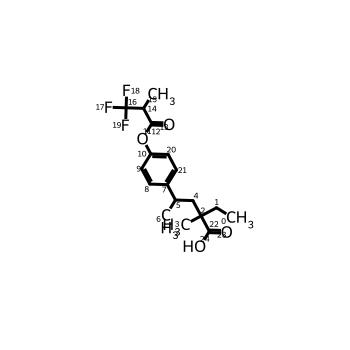 CCC(C)(CC(C)c1ccc(OC(=O)C(C)C(F)(F)F)cc1)C(=O)O